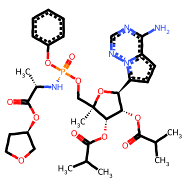 CC(C)C(=O)O[C@H]1[C@H](c2ccc3c(N)ncnn23)O[C@](C)(CO[P@@](=O)(N[C@@H](C)C(=O)O[C@@H]2CCOC2)Oc2ccccc2)[C@H]1OC(=O)C(C)C